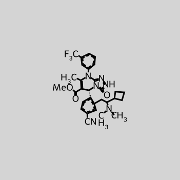 COC(=O)C1=C(C)N(c2cccc(C(F)(F)F)c2)c2n[nH]c(=O)n2[C@@H]1c1ccc(C#N)cc1CC(C1CCC1)N(C)C